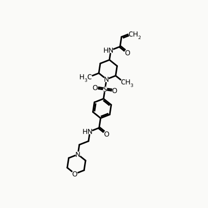 C=CC(=O)NC1CC(C)N(S(=O)(=O)c2ccc(C(=O)NCCN3CCOCC3)cc2)C(C)C1